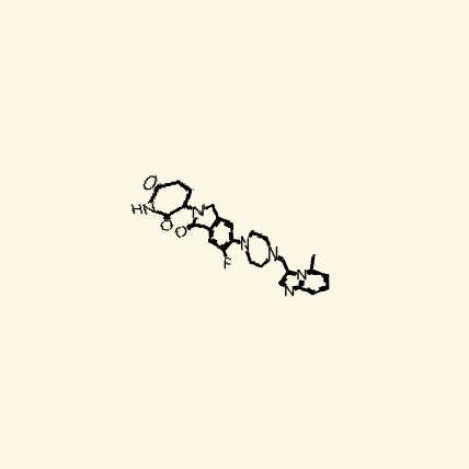 Cc1cccc2ncc(CN3CCN(c4cc5c(cc4F)C(=O)N(C4CCC(=O)NC4=O)C5)CC3)n12